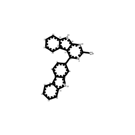 Clc1nc(-c2ccc3c(c2)sc2ccccc23)c2c(n1)sc1ccccc12